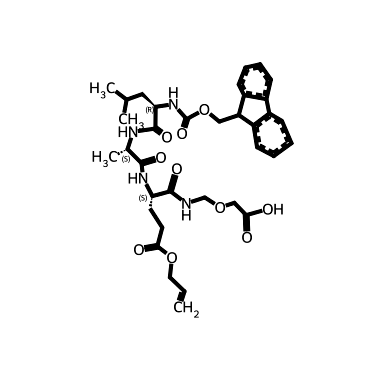 C=CCOC(=O)CC[C@H](NC(=O)[C@H](C)NC(=O)[C@@H](CC(C)C)NC(=O)OCC1c2ccccc2-c2ccccc21)C(=O)NCOCC(=O)O